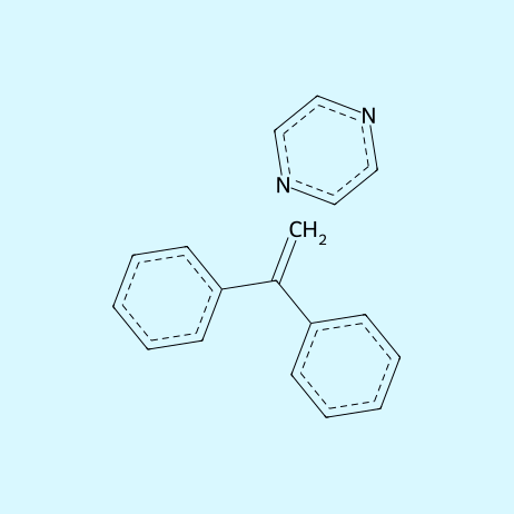 C=C(c1ccccc1)c1ccccc1.c1cnccn1